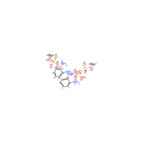 Nc1ccccc1N.Nc1ccccc1N.O=S(=O)(O)O.O=S(=O)(O)O.O=S([O-])[O-].[Na+].[Na+]